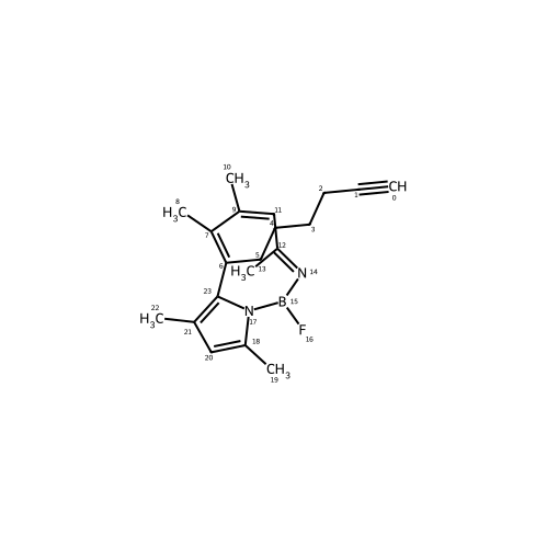 C#CCCCC\C1=C(C)/C(C)=C\C(C)=N\B(F)n2c(C)cc(C)c21